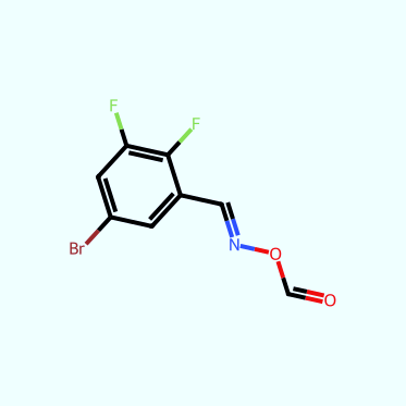 O=CON=Cc1cc(Br)cc(F)c1F